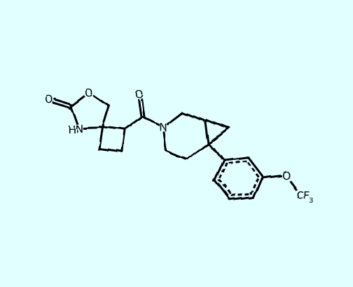 O=C1NC2(CCC2C(=O)N2CCC3(c4cccc(OC(F)(F)F)c4)CC3C2)CO1